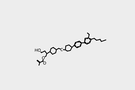 C=C(C)C(=O)OCC(CCO)C1CCC(CCC2CCC(c3ccc(-c4ccc(CCCCC)c(CC)c4)cc3)CC2)CC1